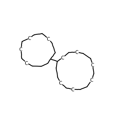 C1CCCCCCCC(C2CCCCCCCCCCCCC2)CCCCCCC1